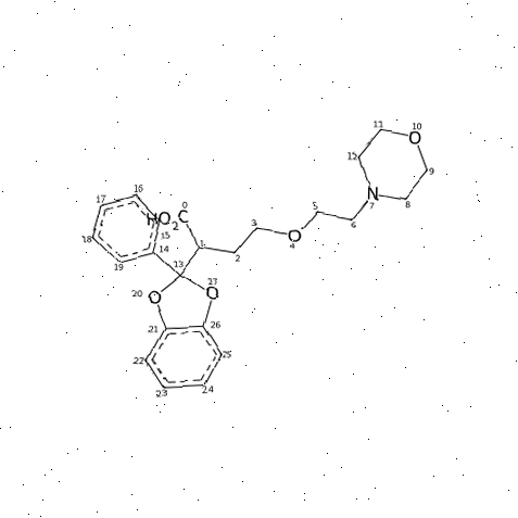 O=C(O)C(CCOCCN1CCOCC1)C1(c2ccccc2)Oc2ccccc2O1